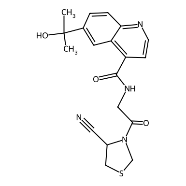 CC(C)(O)c1ccc2nccc(C(=O)NCC(=O)N3CSCC3C#N)c2c1